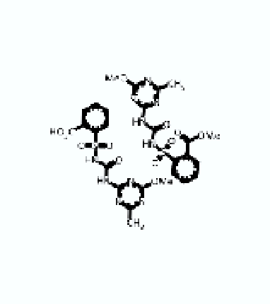 COC(=O)c1ccccc1S(=O)(=O)NC(=O)Nc1nc(C)nc(OC)n1.COc1nc(C)nc(NC(=O)NS(=O)(=O)c2ccccc2C(=O)O)n1